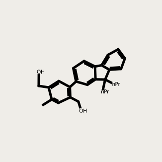 CCCC1(CCC)c2ccccc2-c2ccc(-c3cc(CO)c(C)cc3CO)cc21